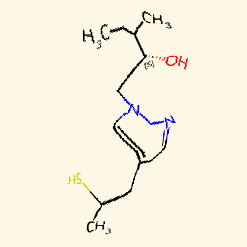 CC(S)Cc1cnn(C[C@@H](O)C(C)C)c1